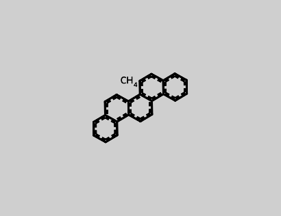 C.c1ccc2c(c1)ccc1c2ccc2c3ccccc3ccc21